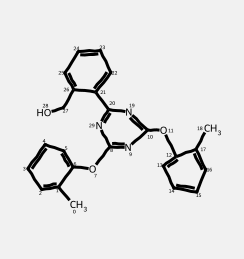 Cc1ccccc1Oc1nc(Oc2ccccc2C)nc(-c2ccccc2CO)n1